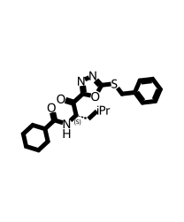 CC(C)C[C@H](NC(=O)C1CCCCC1)C(=O)c1nnc(SCc2ccccc2)o1